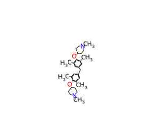 Cc1cc(Cc2cc(C)c(OC3CCN(C)CC3)c(C)c2)cc(C)c1OC1CCN(C)CC1